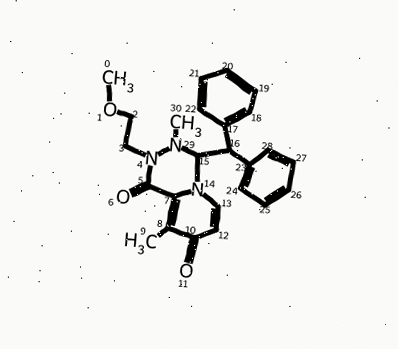 COCCN1C(=O)c2c(C)c(=O)ccn2C(C(c2ccccc2)c2ccccc2)N1C